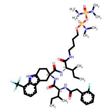 CCC(C)[C@H](NC(=O)Cc1ccccc1F)C(=O)N[C@]1(C(=O)N[C@H](C(=O)NCCCCOP(=O)(OP(=O)(N(C)C)N(C)C)N(C)C)C(C)CC)CCc2[nH]c3c(C(F)(F)F)cccc3c2C1